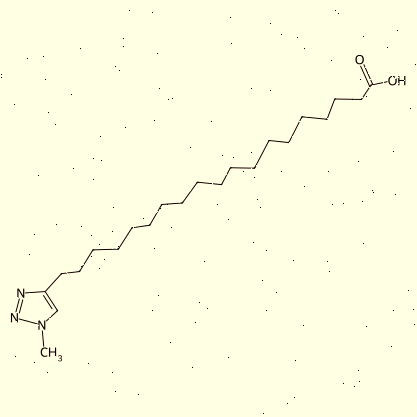 Cn1cc(CCCCCCCCCCCCCCCCCCC(=O)O)nn1